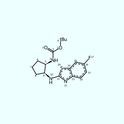 CC(C)(C)OC(=O)N[C@@H]1CCC[C@@H]1Nc1nc2ccc(F)cc2s1